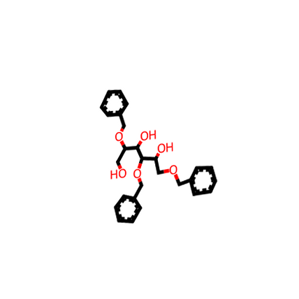 OCC(OCc1ccccc1)C(O)C(OCc1ccccc1)C(O)COCc1ccccc1